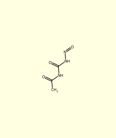 CC(=O)NC(=O)NN=O